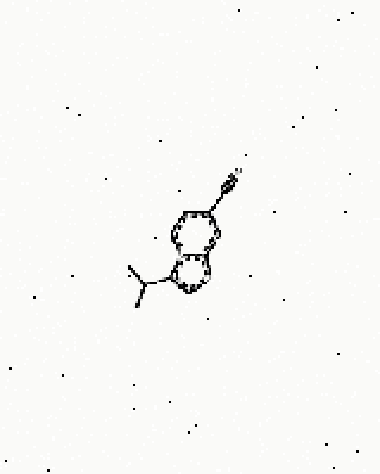 CC(C)c1cnc2cc(C#N)ccn12